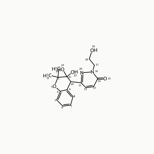 CC1(C)Oc2ccccc2C(c2ccc(=O)n(CCO)n2)C1(O)O